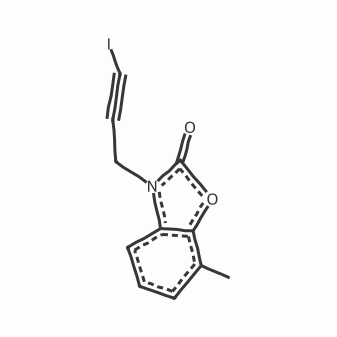 Cc1cccc2c1oc(=O)n2CC#CI